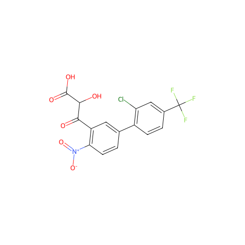 O=C(O)C(O)C(=O)c1cc(-c2ccc(C(F)(F)F)cc2Cl)ccc1[N+](=O)[O-]